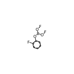 FOB(OF)Oc1ccccc1F